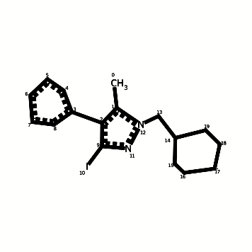 Cc1c(-c2ccccc2)c(I)nn1CC1CC[CH]CC1